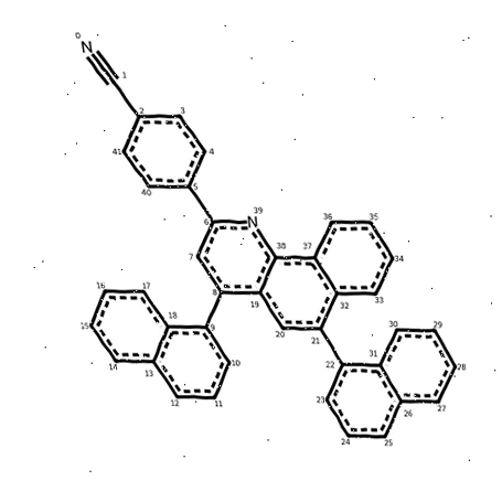 N#Cc1ccc(-c2cc(-c3cccc4ccccc34)c3cc(-c4cccc5ccccc45)c4ccccc4c3n2)cc1